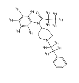 [2H]c1c([2H])c([2H])c(N(C(=O)C([2H])([2H])C([2H])([2H])[2H])C2CCN(C([2H])([2H])C([2H])([2H])c3ccccc3)CC2)c([2H])c1[2H]